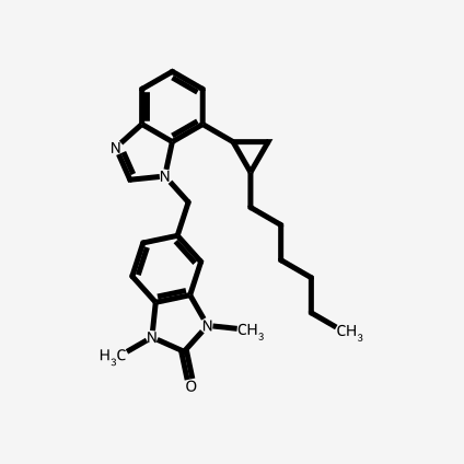 CCCCCCC1CC1c1cccc2ncn(Cc3ccc4c(c3)n(C)c(=O)n4C)c12